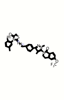 Cc1ccc(C(C)C)c(N2C(=O)CS/C2=N\N=C\c2ccc(-c3nn(C)c(N4CCc5cc(OC(F)(F)F)ccc5C4=O)c3C)cc2)c1